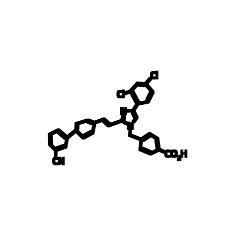 N#Cc1cccc(-c2ccc(C=Cc3nc(-c4ccc(Cl)cc4Cl)cn3Cc3ccc(C(=O)O)cc3)cc2)c1